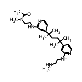 CNCCNc1cc(C(C)(C)CCC(C)(C)c2ccnc(NCCN(C)C(C)=O)c2)ccn1